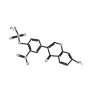 Nc1ccc2c(=O)c(-c3ccc(OS(N)(=O)=O)c([N+](=O)[O-])c3)coc2c1